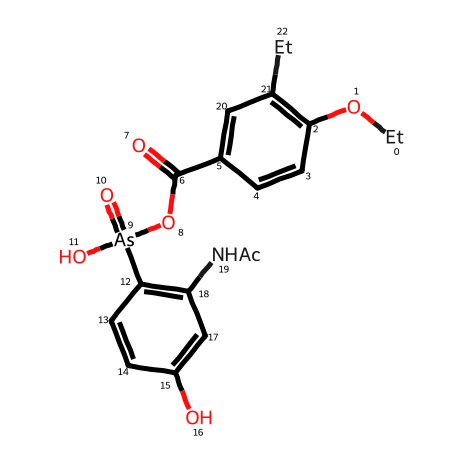 CCOc1ccc(C(=O)O[As](=O)(O)c2ccc(O)cc2NC(C)=O)cc1CC